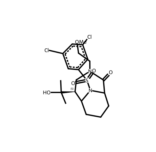 COCCN1C[C@H](C(C)(C)O)C2CCCC(C1=O)N2S(=O)(=O)c1cc(Cl)cc(Cl)c1